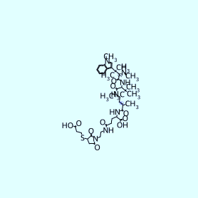 CN[C@H](C(=O)NC(C(=O)N(C)C/C=C(\C)C(=O)NC(CCC(=O)NCCN1C(=O)CC(SCCC(=O)O)C1=O)C(=O)O)C(C)(C)C)C(C)(C)c1cn(C)c2ccccc12